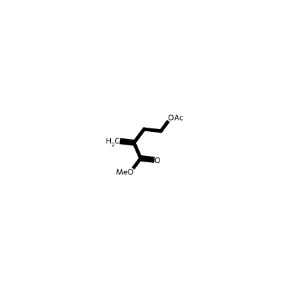 C=C(CCOC(C)=O)C(=O)OC